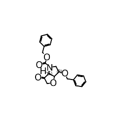 O=C1COC2[C@@H]1N(C(=O)OCc1ccccc1)C[C@H]2OCc1ccccc1